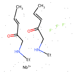 CC=CC(=O)CNCC.CC=CC(=O)CNCC.[F-].[F-].[F-].[Nb+3]